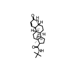 CC(C)(C)NC(=O)C1CC[C@@]2(C)[C@@H]3CC[C@H]4NC(=O)C=C[C@]4(C)[C@H]3CC[C@]12C